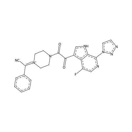 N#CC(c1ccccc1)=[N+]1CCN(C(=O)C(=O)c2c[nH]c3c(-n4ccnn4)ncc(F)c23)CC1